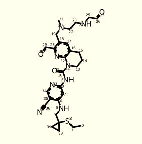 CCSC1(CNc2cc(NC(=O)N3CCCc4cc(CN(C)CCNCC=O)c(C=O)nc43)ncc2C#N)CC1